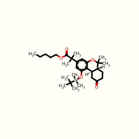 CCCCCOC(=O)C(C)(C)c1cc2c(c(O[Si](C)(C)C(C)(C)C)c1)[C@@H]1CC(=O)CC[C@H]1C(C)(C)O2